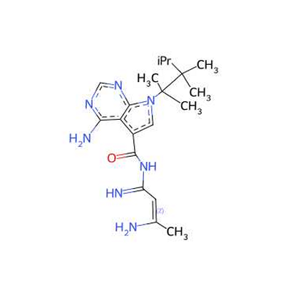 C/C(N)=C/C(=N)NC(=O)c1cn(C(C)(C)C(C)(C)C(C)C)c2ncnc(N)c12